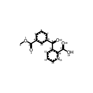 COC(=O)c1cccc(C(=O)c2cccnc2C(=O)O)c1